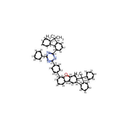 CC1(C)c2ccccc2-c2c(-c3nc(-c4ccccc4)nc(-c4ccc(-c5cccc6c5oc5cc7c(cc56)-c5ccccc5C7(C)c5ccccc5)cc4)n3)cccc21